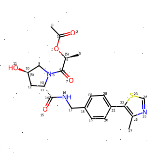 CC(=O)O[C@@H](C)C(=O)N1C[C@H](O)C[C@H]1C(=O)NCc1ccc(-c2scnc2C)cc1